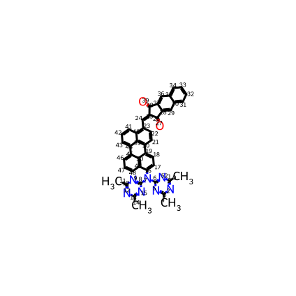 Cc1nc(C)nc(N(c2nc(C)nc(C)n2)c2ccc3c4ccc(C=C5C(=O)c6cc7ccccc7cc6C5=O)c5cccc(c6cccc2c63)c54)n1